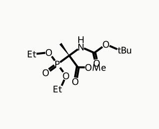 CCOP(=O)(OCC)[C@](C)(NC(=O)OC(C)(C)C)C(=O)OC